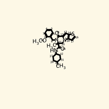 COc1ccccc1CN1C(=O)c2cc3sccc3n2CC1(C)C(=O)NC1CCC(C)CC1